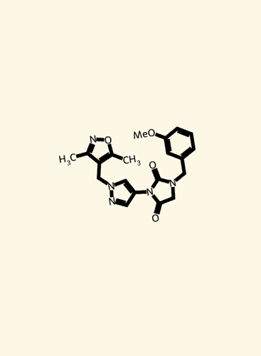 COc1cccc(CN2CC(=O)N(c3cnn(Cc4c(C)noc4C)c3)C2=O)c1